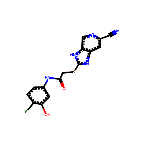 N#Cc1cc2nc(SCC(=O)Nc3ccc(F)c(O)c3)[nH]c2cn1